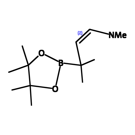 CN/C=C\C(C)(C)B1OC(C)(C)C(C)(C)O1